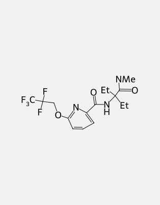 CCC(CC)(NC(=O)c1cccc(OCC(F)(F)C(F)(F)F)n1)C(=O)NC